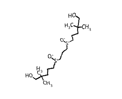 CC(C)(CO)CCC[S+]([O-])CCC[S+]([O-])CCCC(C)(C)CO